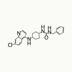 O=C(NCc1ccccc1)NC1CCC(Nc2ccnc3cc(Cl)ccc23)CC1